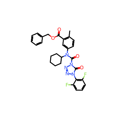 Cc1ccc(N(C(=O)n2nnn(-c3c(F)cccc3F)c2=O)C2CCCCC2)cc1C(=O)OCc1ccccc1